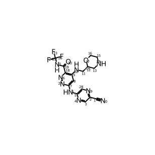 N#Cc1cnc(Nc2cc(NC[C@@H]3CNCCO3)c(C(=O)NC(F)(F)F)nn2)cn1